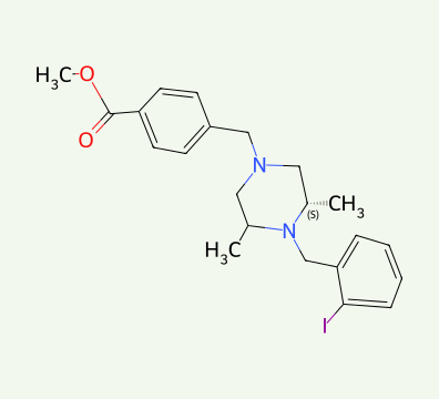 COC(=O)c1ccc(CN2CC(C)N(Cc3ccccc3I)[C@@H](C)C2)cc1